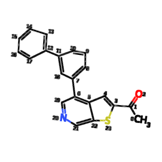 CC(=O)c1cc2c(-c3cccc(-c4ccccc4)c3)cncc2s1